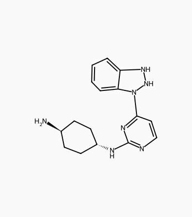 N[C@H]1CC[C@H](Nc2nccc(N3NNc4ccccc43)n2)CC1